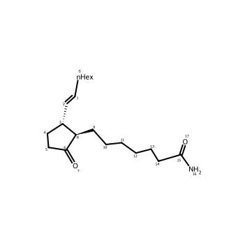 CCCCCCC=C[C@H]1CCC(=O)[C@@H]1CCCCCCC(N)=O